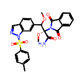 COC(c1ccc2cnn(S(=O)(=O)c3ccc(C)cc3)c2c1)[C@](OC)(C(N)=O)N1C(=O)c2ccccc2C1=O